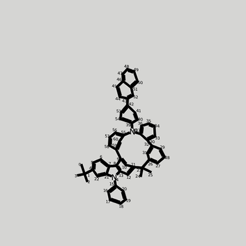 CC(C)(C)c1ccc2c3c4cc(cc3n(-c3ccccc3)c2c1)C(C)(C)c1cccc(c1)-c1ccccc1N(c1ccc(-c2ccc3ccccc3c2)cc1)c1cccc-4c1